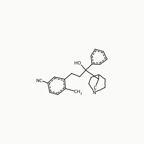 Cc1ccc(C#N)cc1CCC(O)(c1ccccc1)C1CN2CCC1CC2